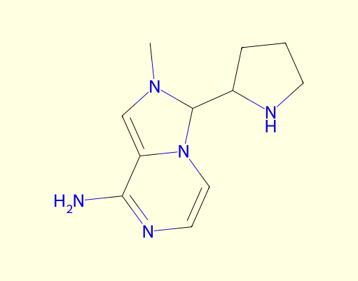 CN1C=C2C(N)=NC=CN2C1C1CCCN1